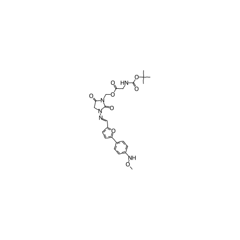 CONc1ccc(-c2ccc(/C=N/N3CC(=O)N(COC(=O)CNC(=O)OC(C)(C)C)C3=O)o2)cc1